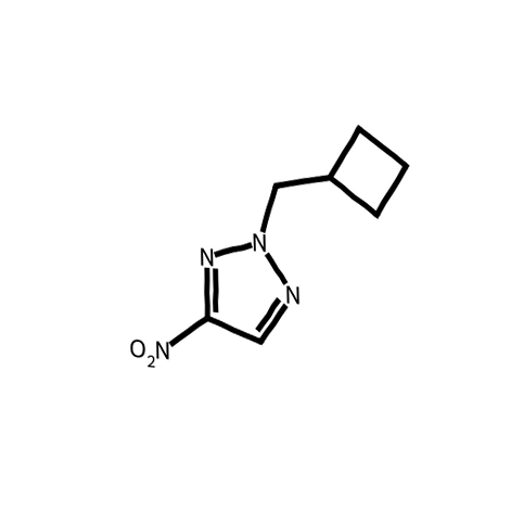 O=[N+]([O-])c1cnn(CC2CCC2)n1